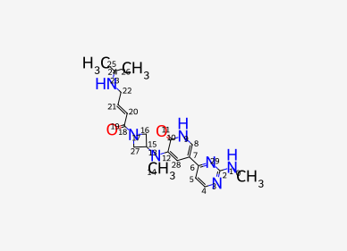 CNc1nccc(-c2c[nH]c(=O)c(N(C)C3CN(C(=O)/C=C/CNC(C)C)C3)c2)n1